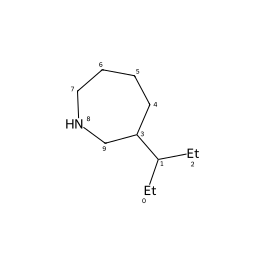 CCC(CC)C1CCCCNC1